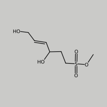 COS(=O)(=O)CCC(O)C=CCO